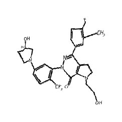 Cc1cc(-c2nn(-c3cc(N4CC[C@@H](O)C4)ccc3C(F)(F)F)c(=O)c3c2CCN3CCO)ccc1F